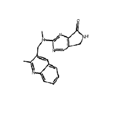 Cc1nc2ccccc2cc1CN(C)c1ncc2c(n1)C(=O)NC2